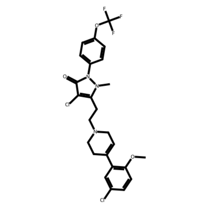 COc1ccc(Cl)cc1C1=CCN(CCc2c(Cl)c(=O)n(-c3ccc(OC(F)(F)F)cc3)n2C)CC1